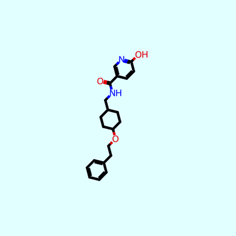 O=C(NCC1CCC(OCCc2ccccc2)CC1)c1ccc(O)nc1